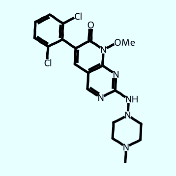 COn1c(=O)c(-c2c(Cl)cccc2Cl)cc2cnc(NN3CCN(C)CC3)nc21